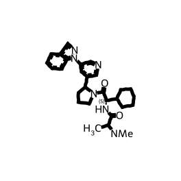 CNC(C)C(=O)N[C@H](C(=O)N1CCCC1c1cncc(-n2ncc3ccccc32)c1)C1CCCCC1